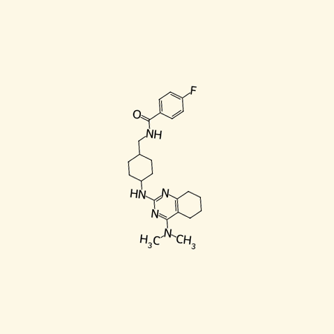 CN(C)c1nc(NC2CCC(CNC(=O)c3ccc(F)cc3)CC2)nc2c1CCCC2